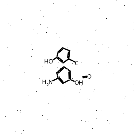 C=O.Nc1cccc(O)c1.Oc1cccc(Cl)c1